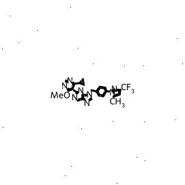 COc1ncnc(C2CC2)c1-c1ncc2ncn(Cc3ccc(-n4nc(C(F)(F)F)cc4C)cc3)c2n1